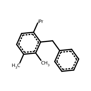 Cc1ccc(C(C)C)c(Cc2ccccc2)c1C